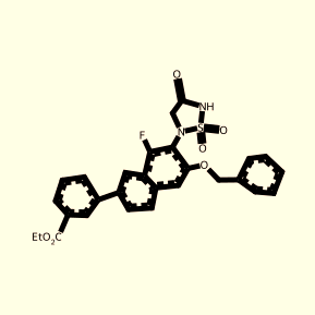 CCOC(=O)c1cccc(-c2ccc3cc(OCc4ccccc4)c(N4CC(=O)NS4(=O)=O)c(F)c3c2)c1